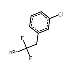 [CH2]CCC(F)(F)Cc1cccc(Cl)c1